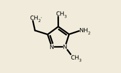 [CH2]Cc1nn(C)c(N)c1C